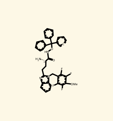 COc1c(F)c(F)c(Cn2c(CC[C@H](N)C(=O)NOC(c3ccccc3)(c3ccccc3)c3ccccc3)nc3ccccc32)c(F)c1F